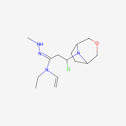 C=CN(CC)/C(CC(Cl)N1C2CCC1COC2)=N/NC